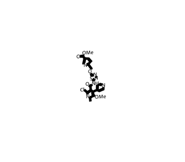 COC(=O)c1ccc(COc2nnc(NC(=O)c3c(Cl)nc(C)c(OC)c3-c3ccncc3)s2)nc1